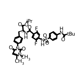 Cc1cc(=O)n(-c2ccc(C[C@H](NC(=O)c3cc(F)c(NS(=O)(=O)c4ccc(NC(=O)C(C)(C)C)cc4)cc3F)C(=O)OC(C)C)cc2)c(=O)n1C